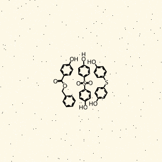 O=C(OCc1ccccc1)c1ccc(O)cc1.O=S(=O)(c1ccc(O)cc1)c1ccc(O)cc1.Oc1ccc(Sc2ccc(O)cc2)cc1